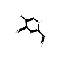 Cc1coc(C=O)cc1=O